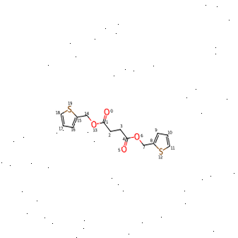 O=C(CCC(=O)OCc1cccs1)OCc1cccs1